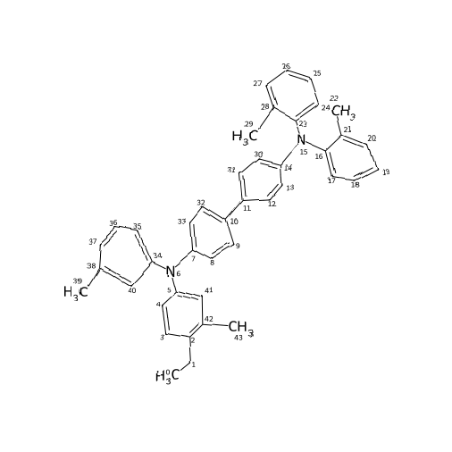 CCc1ccc(N(c2ccc(-c3ccc(N(c4ccccc4C)c4ccccc4C)cc3)cc2)c2cccc(C)c2)cc1C